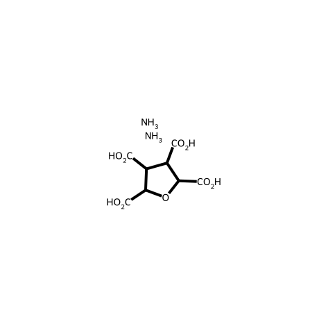 N.N.O=C(O)C1OC(C(=O)O)C(C(=O)O)C1C(=O)O